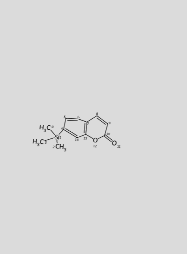 C[Si](C)(C)c1ccc2ccc(=O)oc2c1